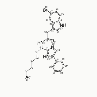 CC(=O)CCCCC[C@H](NC(=O)Cc1c[nH]c2ccc(Br)cc12)c1ncc(-c2ccccc2)[nH]1